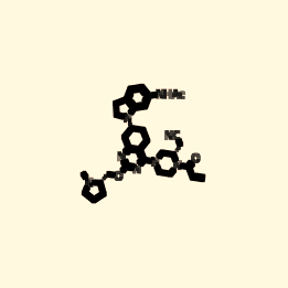 C=CC(=O)N1CCN(c2nc(OC[C@@H]3CCCN3C)nc3c2CC[C@@H](N2CCc4ccc(NC(C)=O)cc42)C3)C[C@@H]1CC#N